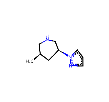 C[C@H]1CNC[C@@H](n2cccn2)C1